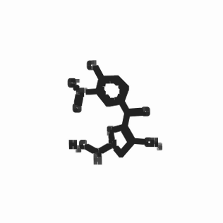 CNN1CC(C)=C(C(=O)c2ccc(Cl)c([N+](=O)[O-])c2)S1